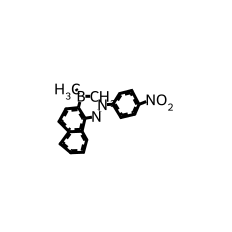 CB(C)c1ccc2ccccc2c1/N=N/c1ccc([N+](=O)[O-])cc1